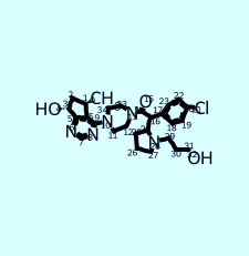 C[C@@H]1C[C@@H](O)c2ncnc(N3CCN(C(=O)C(c4ccc(Cl)cc4)C4CCCN4CCCO)CC3)c21